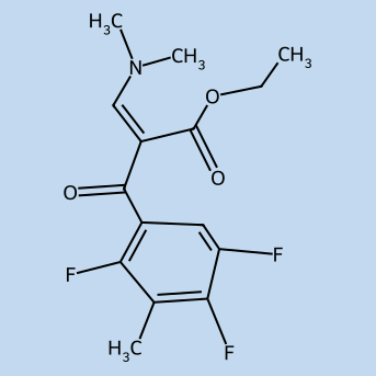 CCOC(=O)C(=CN(C)C)C(=O)c1cc(F)c(F)c(C)c1F